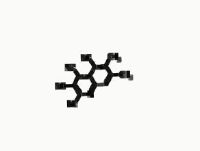 Cc1cc2nc(C#N)c(C#N)c(C#N)c2c(C#N)c1C